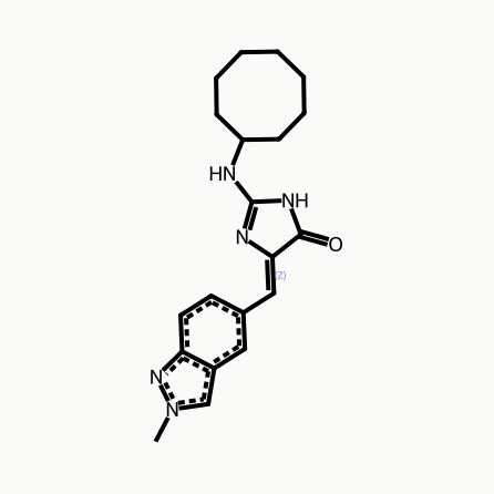 Cn1cc2cc(/C=C3\N=C(NC4CCCCCCC4)NC3=O)ccc2n1